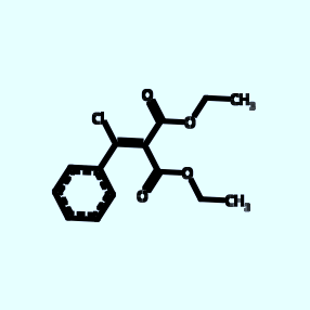 CCOC(=O)C(C(=O)OCC)=C(Cl)c1ccccc1